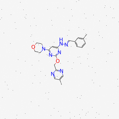 Cc1cnc(COc2nc(N/N=C/c3cccc(C)c3)cc(N3CCOCC3)n2)nc1